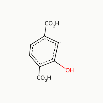 O=C(O)c1[c]c(O)c(C(=O)O)cc1